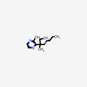 CCCCCC(C)(CC)c1nccnc1C